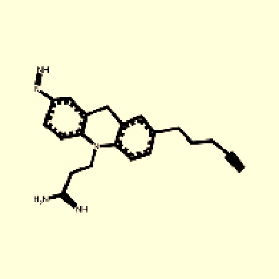 C#CCCCc1ccc2c(c1)Cc1cc(N=N)ccc1N2CCC(=N)N